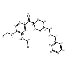 CCOc1ccc(C(=O)N2CCN(CCCc3ccccc3)CC2)cc1OCC